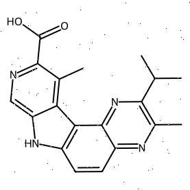 Cc1nc2ccc3[nH]c4cnc(C(=O)O)c(C)c4c3c2nc1C(C)C